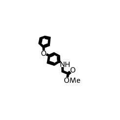 COC(=O)CNc1ccc(Oc2ccccc2)cc1